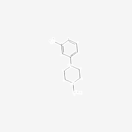 [CH2]CCCCN1CCN(c2cccc(C(F)(F)F)c2)CC1